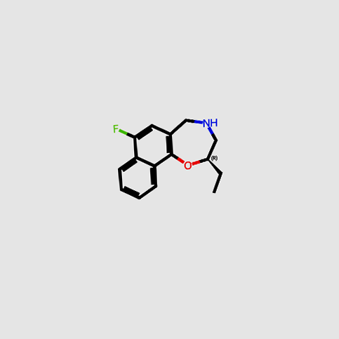 CC[C@@H]1CNCc2cc(F)c3ccccc3c2O1